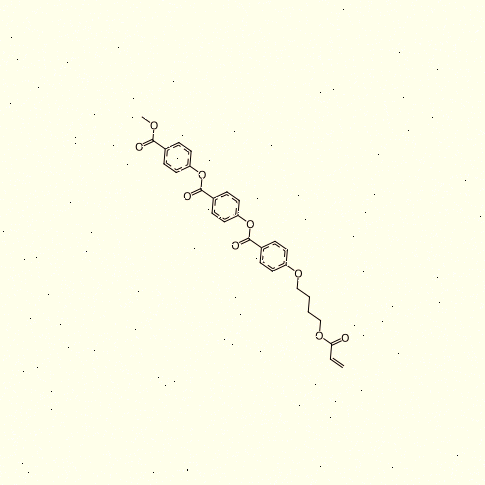 C=CC(=O)OCCCCOc1ccc(C(=O)Oc2ccc(C(=O)Oc3ccc(C(=O)OC)cc3)cc2)cc1